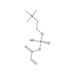 C=CC(=O)OP(=O)(O)OCC[N+](C)(C)C